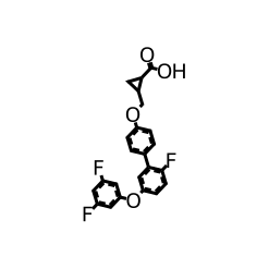 O=C(O)C1CC1COc1ccc(-c2cc(Oc3cc(F)cc(F)c3)ccc2F)cc1